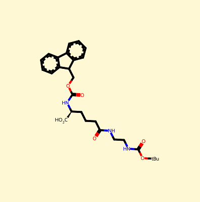 CC(C)(C)OC(=O)NCCNC(=O)CCC[C@H](NC(=O)OCC1c2ccccc2-c2ccccc21)C(=O)O